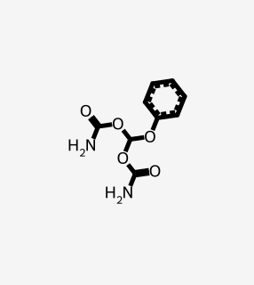 NC(=O)OC(OC(N)=O)Oc1ccccc1